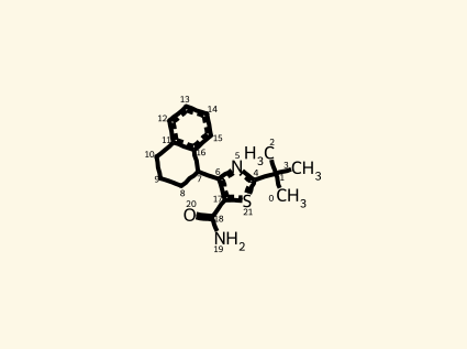 CC(C)(C)c1nc(C2CCCc3ccccc32)c(C(N)=O)s1